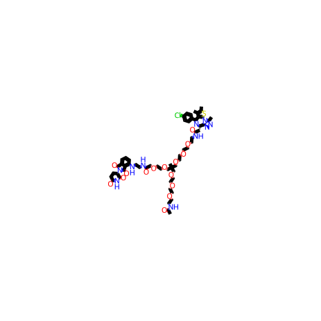 CC(=O)NCCOCCOCCOCC(C)(COCCOCCOCCNC(=O)C[C@@H]1N=C(c2ccc(Cl)cc2)c2c(sc(C)c2C)-n2c(C)nnc21)COCCOCC(=O)NCCNc1cccc2c1C(=O)N(C1CCC(=O)NC1=O)C2=O